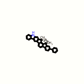 CC1(C)c2cc(-c3ccccc3)ccc2-c2ccc3c(c21)C(C)(C)c1cc2[nH]c4ccccc4c2cc1-3